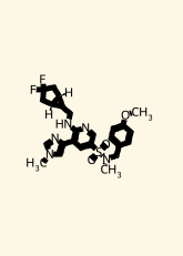 COc1ccc(CN(C)S(=O)(=O)c2cnc(NCC3[C@H]4CC(F)(F)C[C@@H]34)c(-c3cn(C)cn3)c2)cc1